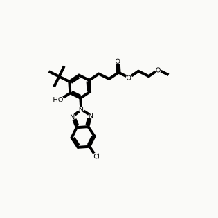 COCCOC(=O)CCc1cc(-n2nc3ccc(Cl)cc3n2)c(O)c(C(C)(C)C)c1